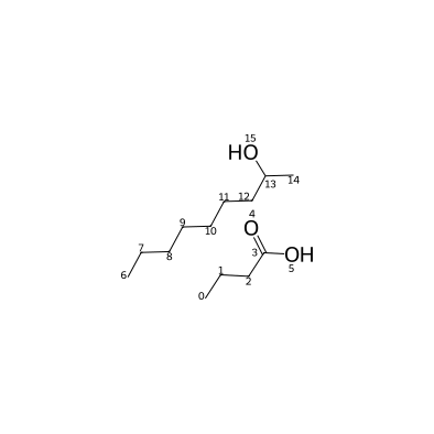 CCCC(=O)O.CCCCCCCC(C)O